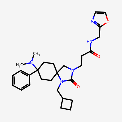 CN(C)C1(c2ccccc2)CCC2(CC1)CN(CCC(=O)NCc1ncco1)C(=O)N2CC1CCC1